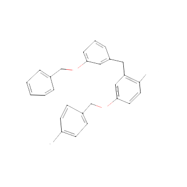 CCCCc1ccc(COc2ccc([C]=O)c(Cc3cccc(OCc4ccccc4)c3)c2)cc1